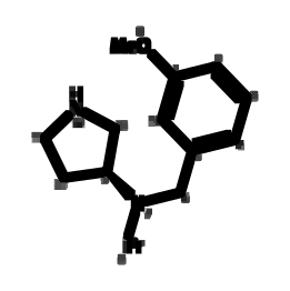 COc1cccc(CN(C(C)C)[C@H]2CCNC2)c1